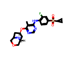 Cc1c(Nc2ccc(S(=O)(=O)C3CC3)cc2F)ncnc1O[C@@H]1CC2COC[C@@H](C1)N2